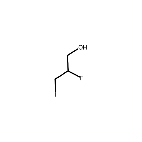 OCC(F)CI